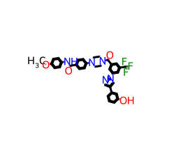 COc1ccc(NC(=O)c2ccc(N3CCN(C(=O)c4cc(-n5cc(-c6cccc(O)c6)cn5)cc(C(F)(F)F)c4)CC3)cc2)cc1